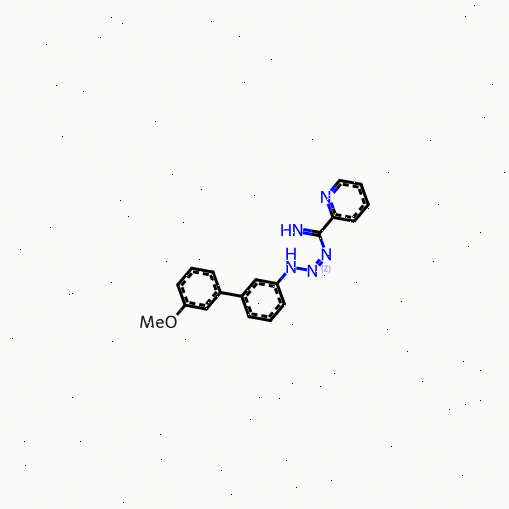 COc1cccc(-c2cccc(N/N=N\C(=N)c3ccccn3)c2)c1